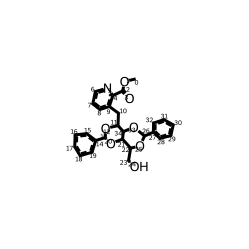 COC(=O)c1ncccc1CC1OC(c2ccccc2)OC2C(CO)OC(c3ccccc3)OC12